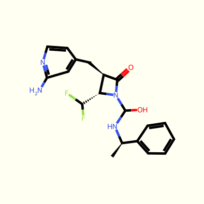 C[C@@H](NC(O)N1C(=O)[C@H](Cc2ccnc(N)c2)[C@H]1C(F)F)c1ccccc1